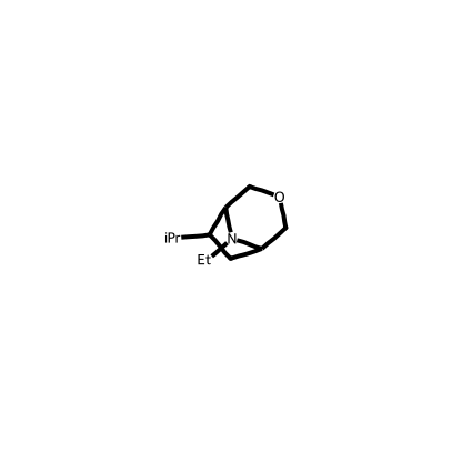 CCN1C2COCC1C(C(C)C)C2